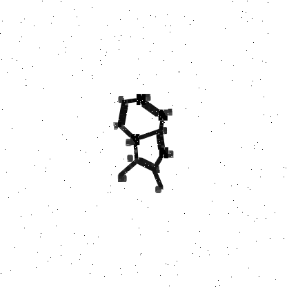 Cc1nc2nnccn2c1C